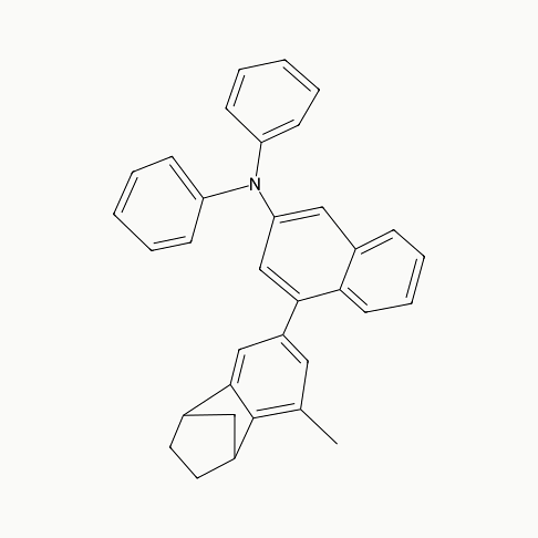 Cc1cc(-c2cc(N(c3ccccc3)c3ccccc3)cc3ccccc23)cc2c1C1CCC2C1